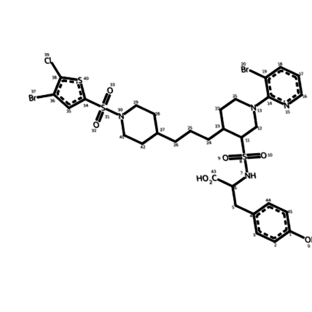 COc1ccc(CC(NS(=O)(=O)C2CN(c3ncccc3Br)CCC2CCCC2CCN(S(=O)(=O)c3cc(Br)c(Cl)s3)CC2)C(=O)O)cc1